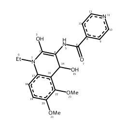 CCN1C(O)=C(NC(=O)c2ccncc2)C(O)c2c1ccc(OC)c2OC